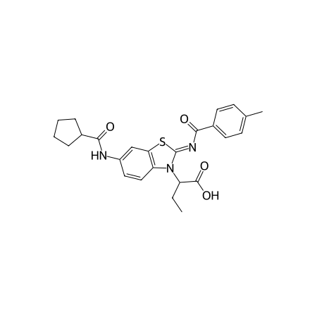 CCC(C(=O)O)n1c(=NC(=O)c2ccc(C)cc2)sc2cc(NC(=O)C3CCCC3)ccc21